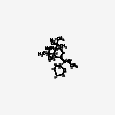 CON(C1CC[C@](C)(C(C)(C)C)[C@H](C(C)(C)C)C1)[C@H]1CCCCO1